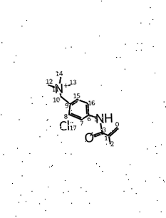 C=C(C)C(=O)Nc1ccc(C[N+](C)(C)C)cc1.[Cl-]